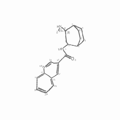 O=C(NC1C2CCC(CC2)[C@@]12CN2)c1cnc2ccccc2c1